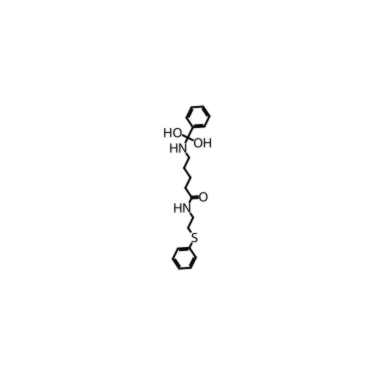 O=C(CCCCNC(O)(O)c1ccccc1)NCCSc1ccccc1